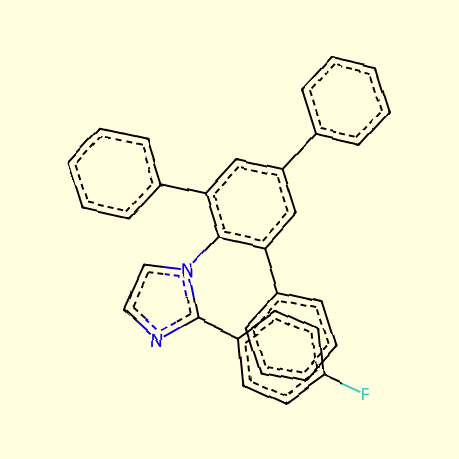 Fc1ccc(-c2nccn2-c2c(-c3ccccc3)cc(-c3ccccc3)cc2-c2ccccc2)cc1